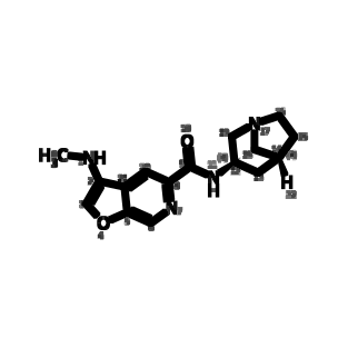 CNc1coc2cnc(C(=O)N[C@@H]3C[C@H]4CCN(C4)C3)cc12